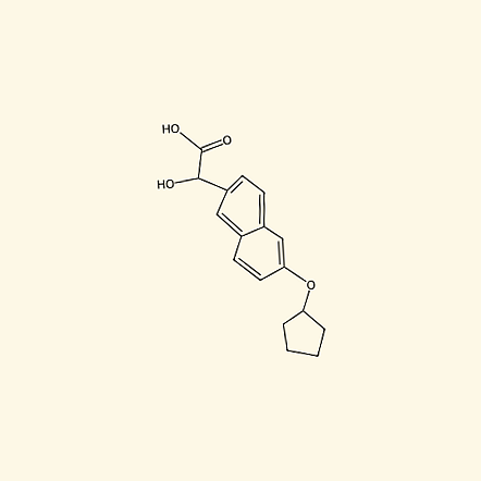 O=C(O)C(O)c1ccc2cc(OC3CCCC3)ccc2c1